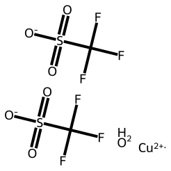 O.O=S(=O)([O-])C(F)(F)F.O=S(=O)([O-])C(F)(F)F.[Cu+2]